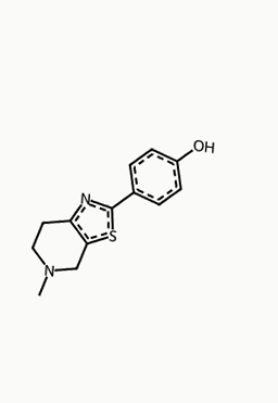 CN1CCc2nc(-c3ccc(O)cc3)sc2C1